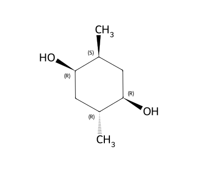 C[C@@H]1C[C@@H](O)[C@@H](C)C[C@H]1O